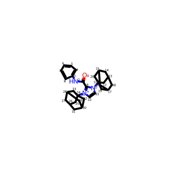 O=C(Nc1ccccc1)c1n(C23CC4CC(CC(C4)C2)C3)cc[n+]1C12CC3CC(CC(C3)C1)C2